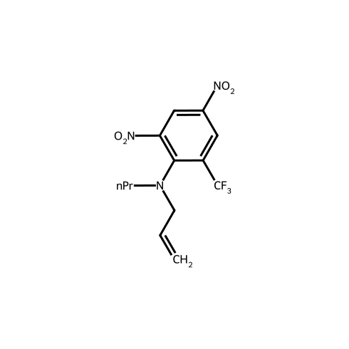 C=CCN(CCC)c1c([N+](=O)[O-])cc([N+](=O)[O-])cc1C(F)(F)F